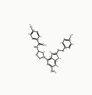 Nc1nc(N2CCC(NC(=O)c3ccc(Cl)cc3)C2)c2nc(CCc3ccc(F)cc3)sc2n1